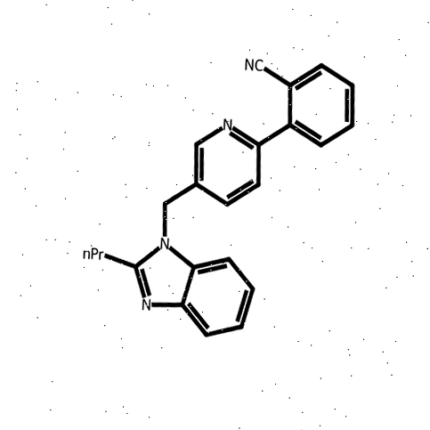 CCCc1nc2ccccc2n1Cc1ccc(-c2ccccc2C#N)nc1